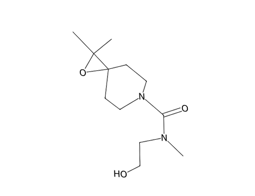 CN(CCO)C(=O)N1CCC2(CC1)OC2(C)C